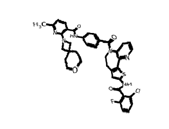 Cc1ccc(C(=O)Nc2ccc(C(=O)N3CCc4cc(NC(=O)c5c(F)cccc5Cl)sc4-c4ncccc43)cc2)c(N2CC3(CCOCC3)C2)n1